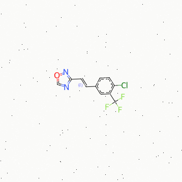 FC(F)(F)c1cc(/C=C/c2ncon2)ccc1Cl